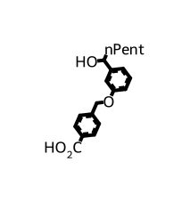 CCCCCC(O)c1cccc(OCc2ccc(C(=O)O)cc2)c1